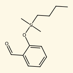 CCCC[Si](C)(C)Oc1ccccc1C=O